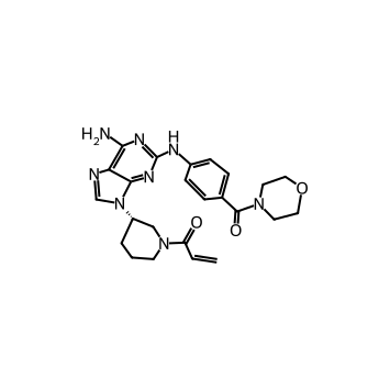 C=CC(=O)N1CCC[C@H](n2cnc3c(N)nc(Nc4ccc(C(=O)N5CCOCC5)cc4)nc32)C1